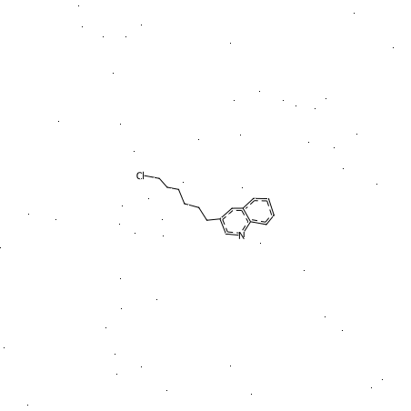 ClCCCCCCc1cnc2ccccc2c1